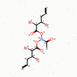 C=CCC(Br)C(Br)C(=O)ON(OC(=O)C(Br)C(Br)CC=C)C(C)=O